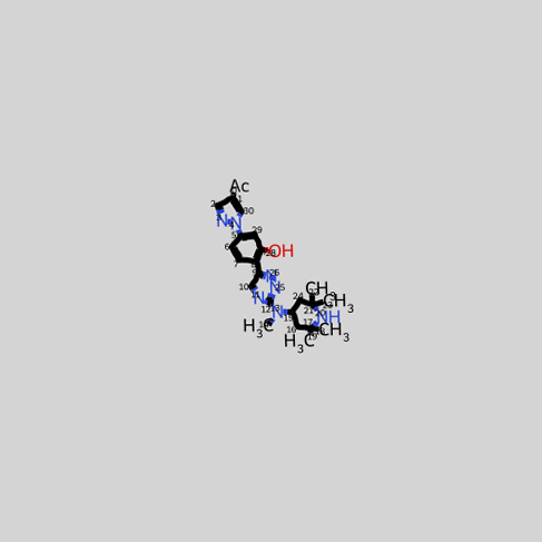 CC(=O)c1cnn(-c2ccc(-c3cnc(N(C)C4CC(C)(C)NC(C)(C)C4)nn3)c(O)c2)c1